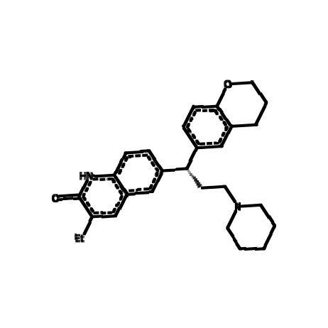 CCc1cc2cc([C@@H](CCN3CCCCC3)c3ccc4c(c3)CCCO4)ccc2[nH]c1=O